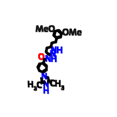 COc1cc(CCC2CCC(NC(=O)C3=CC=C(N4C[C@@H](C)N[C@@H](C)C4)CC=C3)=NN2)cc(OC)c1